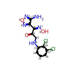 Nc1nonc1C(=NO)C(=O)CNc1cccc(Cl)c1Cl